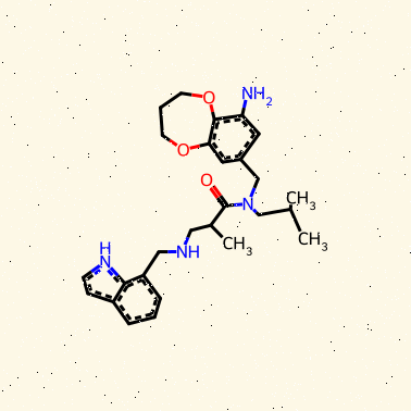 CC(C)CN(Cc1cc(N)c2c(c1)OCCCO2)C(=O)C(C)CNCc1cccc2cc[nH]c12